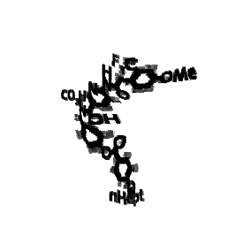 CCCCCCCOc1ccc(C(=O)Oc2ccc(CN(CC(=O)O)C(O)c3ccc(NC(=O)Cc4ccc(OC)cc4C(F)(F)F)nc3)cc2)cc1